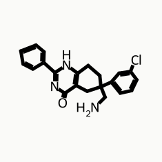 NCC1(c2cccc(Cl)c2)CCc2[nH]c(-c3ccccc3)nc(=O)c2C1